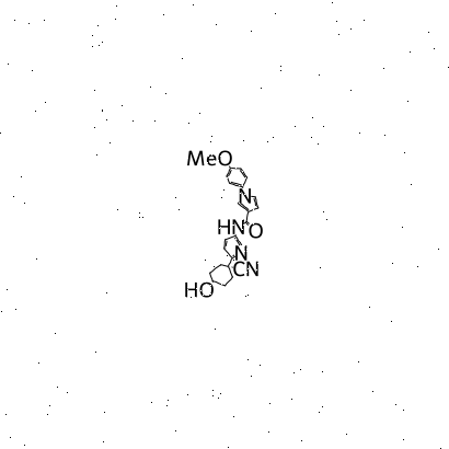 COc1ccc(-n2ccc(C(=O)Nc3ccc([C@]4(C#N)CC[C@@H](O)CC4)nc3)c2)cc1